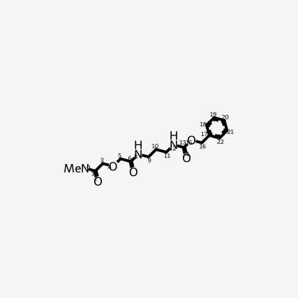 CNC(=O)COCC(=O)NCCCNC(=O)OCc1ccccc1